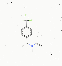 C=CN(C)[C@H](C)c1ccc(C(F)(F)F)cc1